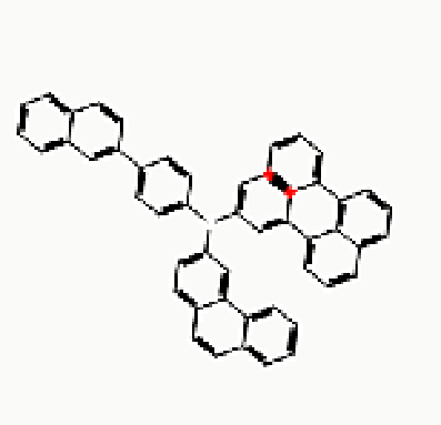 c1ccc(-c2cccc3cccc(-c4cccc(N(c5ccc(-c6ccc7ccccc7c6)cc5)c5ccc6ccc7ccccc7c6c5)c4)c23)cc1